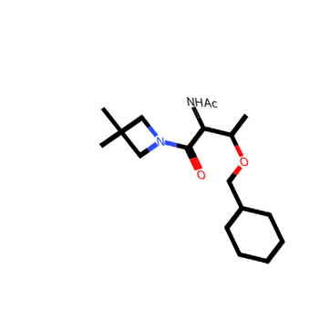 CC(=O)NC(C(=O)N1CC(C)(C)C1)C(C)OCC1CCCCC1